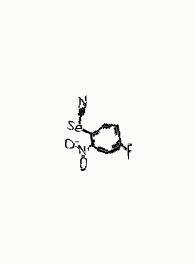 N#C[Se]c1ccc(F)cc1[N+](=O)[O-]